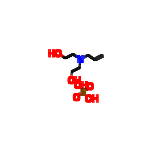 C=CCN(CCO)CCO.O=S(=O)(O)O